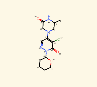 CC1CN(c2cnn(C3CCCCO3)c(=O)c2Cl)CC(=O)N1